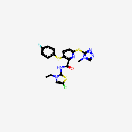 CCN1[C]=C(Cl)SC1NC(=O)c1nc(Sc2nncn2C)ccc1Sc1ccc(F)cc1